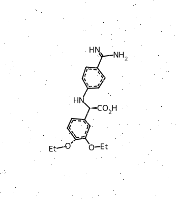 CCOc1ccc([C@@H](Nc2ccc(C(=N)N)cc2)C(=O)O)cc1OCC